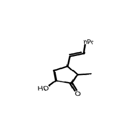 CCC/C=C/C1CC(O)C(=O)C1C